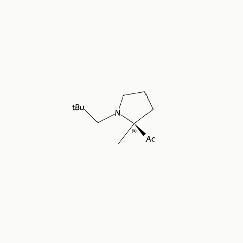 CC(=O)[C@]1(C)CCCN1CC(C)(C)C